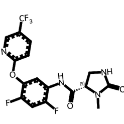 CN1C(=O)NC[C@H]1C(=O)Nc1cc(Oc2ccc(C(F)(F)F)cn2)c(F)cc1F